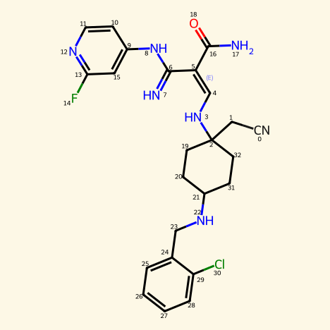 N#CCC1(N/C=C(\C(=N)Nc2ccnc(F)c2)C(N)=O)CCC(NCc2ccccc2Cl)CC1